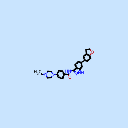 CCN1CCN(c2ccc(C(=O)Nc3n[nH]c4cc(-c5ccc6c(c5)CCO6)ccc34)cc2)CC1